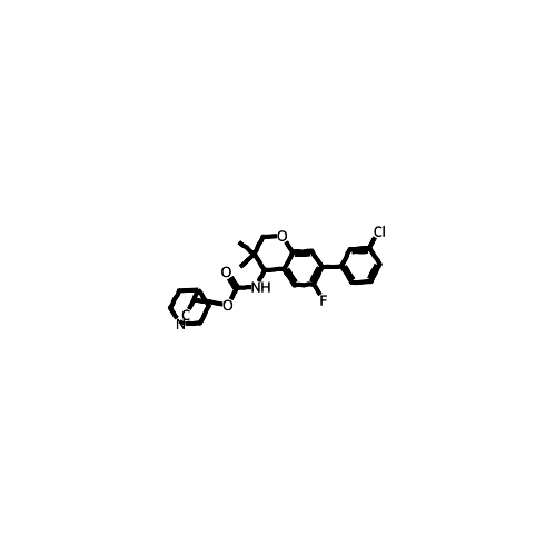 CC1(C)COc2cc(-c3cccc(Cl)c3)c(F)cc2C1NC(=O)OC1CN2CCC1CC2